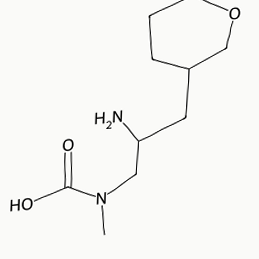 CN(CC(N)CC1CCCOC1)C(=O)O